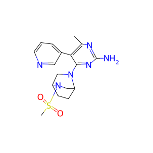 Cc1nc(N)nc(N2CC3CCC2CN3S(C)(=O)=O)c1-c1cccnc1